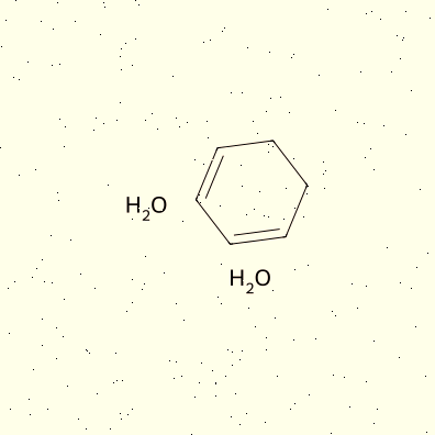 C1=CCCC=C1.O.O